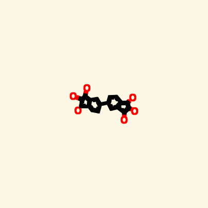 O=c1c(=O)c2ccc(-c3ccc4c(=O)c(=O)c(=O)c4c3)cc2c1=O